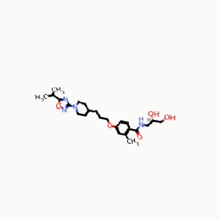 Cc1cc(OCCCC2CCN(c3noc(C(C)C)n3)CC2)ccc1C(=O)NC[C@H](O)CO